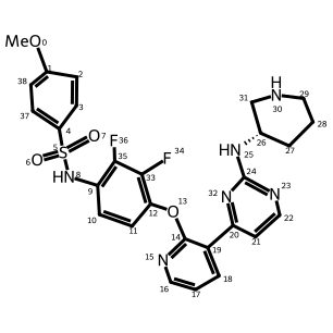 COc1ccc(S(=O)(=O)Nc2ccc(Oc3ncccc3-c3ccnc(N[C@H]4CCCNC4)n3)c(F)c2F)cc1